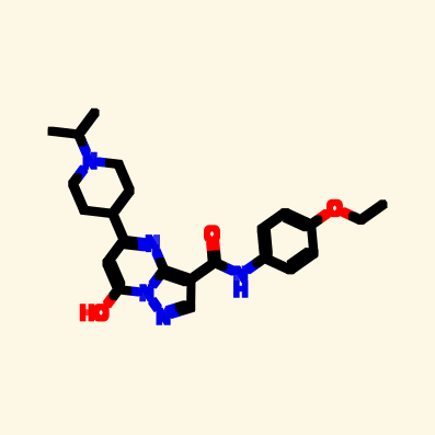 CCOc1ccc(NC(=O)c2cnn3c(O)cc(C4CCN(C(C)C)CC4)nc23)cc1